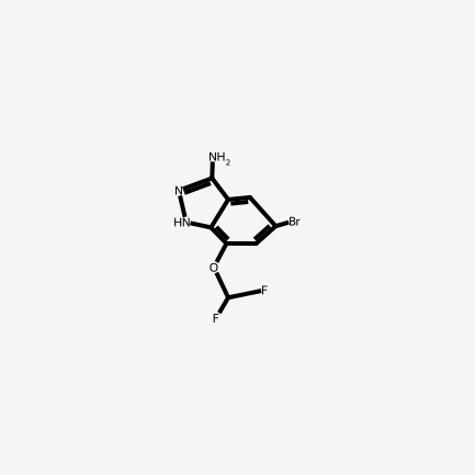 Nc1n[nH]c2c(OC(F)F)cc(Br)cc12